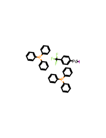 FC(F)(F)c1cc[c]([Pd][I])cc1.c1ccc(P(c2ccccc2)c2ccccc2)cc1.c1ccc(P(c2ccccc2)c2ccccc2)cc1